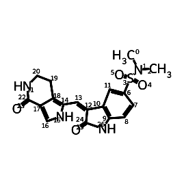 CN(C)S(=O)(=O)c1ccc2c(c1)C(=Cc1[nH]cc3c1CCNC3=O)C(=O)N2